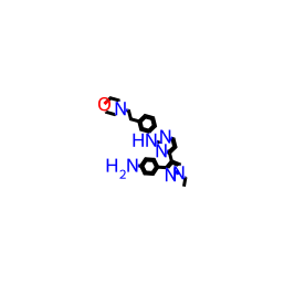 CCn1cc(-c2ccnc(Nc3cccc(CCN4CCOCC4)c3)n2)c(-c2ccc(N)cc2)n1